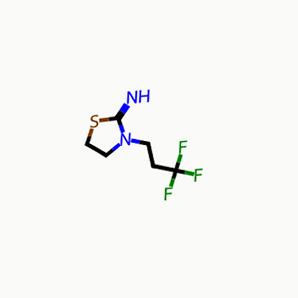 N=C1SCCN1CCC(F)(F)F